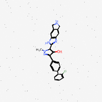 CN1N=C(c2ccc(-c3ccccc3Cl)cc2)C(O)C1c1nc2cc3c(cc2[nH]1)CNC3